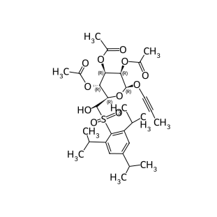 CC#CO[C@H]1O[C@@H](C(O)S(=O)(=O)c2c(C(C)C)cc(C(C)C)cc2C(C)C)[C@H](OC(C)=O)[C@@H](OC(C)=O)[C@H]1OC(C)=O